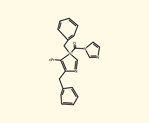 CCCC1=C(Cc2ccccc2)N=C[N+]1(Cc1ccccc1)C(=O)n1ccnc1